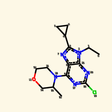 CCn1c(C2CC2)nc2c(N3CCOCC3C)nc(Cl)nc21